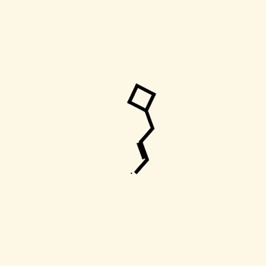 [CH2]C=CCC1CCC1